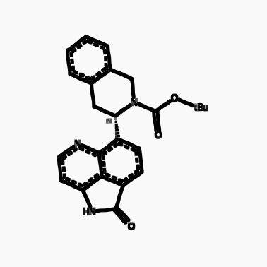 CC(C)(C)OC(=O)N1Cc2ccccc2C[C@H]1c1ccc2c3c(ccnc13)NC2=O